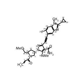 C=CC(=O)N1C[C@@H](n2nc(C#Cc3cc4nc(C5CC5)n(C)c4cc3F)c(C(N)=O)c2NC)C[C@@H]1COC